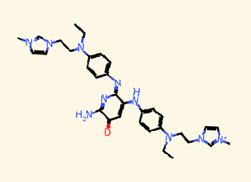 CCN(CCn1cc[n+](C)c1)c1ccc(N=C2N=C(N)C(=O)C=C2Nc2ccc(N(CC)CCn3cc[n+](C)c3)cc2)cc1